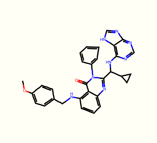 COc1ccc(CNc2cccc3nc(C(Nc4ncnc5nc[nH]c45)C4CC4)n(-c4ccccc4)c(=O)c23)cc1